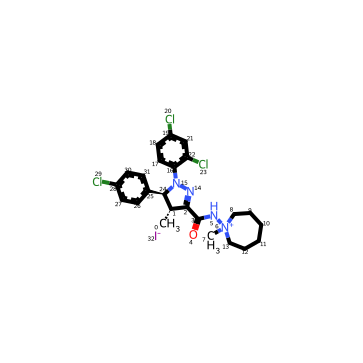 C[C@H]1C(C(=O)N[N+]2(C)CCCCCC2)=NN(c2ccc(Cl)cc2Cl)[C@@H]1c1ccc(Cl)cc1.[I-]